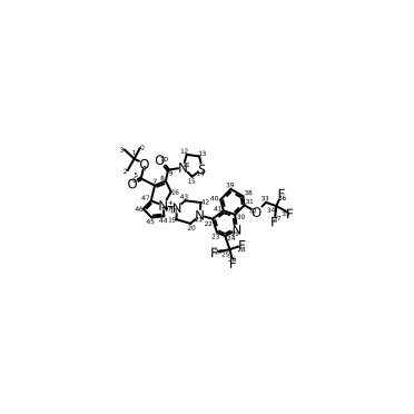 CC(C)(C)OC(=O)C1=C(C(=O)N2CCSC2)C[N@+]2(N3CCN(c4cc(C(F)(F)F)nc5c(OCC(F)(F)F)cccc45)CC3)C=CC=C12